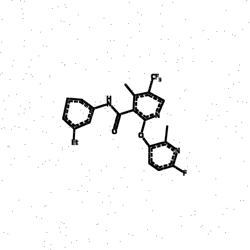 CCc1cccc(NC(=O)c2c(Oc3ccc(F)nc3C)ncc(C(F)(F)F)c2C)c1